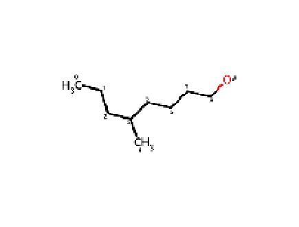 CCCC(C)CCCC[O]